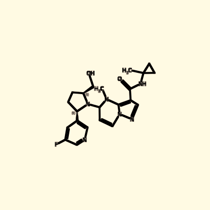 CN1c2c(C(=O)NC3(C)CC3)cnn2C=CC1N1[C@H](CO)CC[C@@H]1c1cncc(F)c1